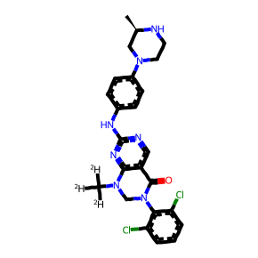 [2H]C([2H])([2H])N1CN(c2c(Cl)cccc2Cl)C(=O)c2cnc(Nc3ccc(N4CCN[C@H](C)C4)cc3)nc21